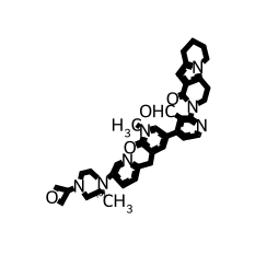 C[C@H]1CN(C2COC2)CCN1c1ccc(Cc2cc(-c3ccnc(N4CCc5c(cc6n5CCCC6)C4=O)c3C=O)cn(C)c2=O)nc1